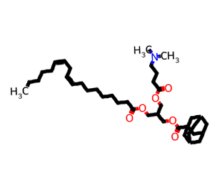 CCCCC/C=C\C/C=C\CCCCCCCC(=O)OCC(COC(=O)CCCN(C)C)COC(=O)C12CC3CC(CC(C3)C1)C2